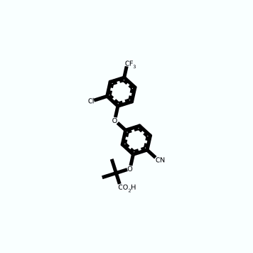 CC(C)(Oc1cc(Oc2ccc(C(F)(F)F)cc2Cl)ccc1C#N)C(=O)O